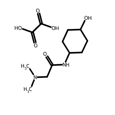 CN(C)CC(=O)NC1CCC(O)CC1.O=C(O)C(=O)O